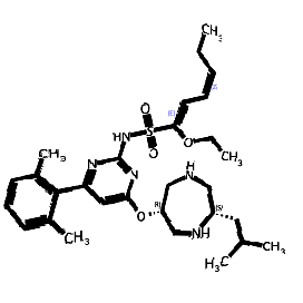 CC/C=C\C=C(/OCC)S(=O)(=O)Nc1nc(O[C@@H]2CNC[C@H](CC(C)C)NC2)cc(-c2c(C)cccc2C)n1